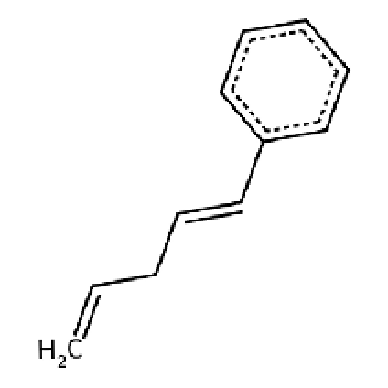 C=CC/C=C/c1ccccc1